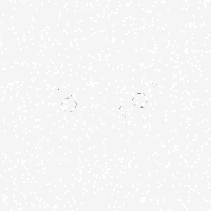 COc1ccc([C@H](CC(=O)O)NC(=O)C2CC(CCc3ccc4c(n3)NCCC4)C2)cn1